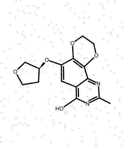 Cc1nc(O)c2cc(O[C@H]3CCOC3)c3c(c2n1)OCCO3